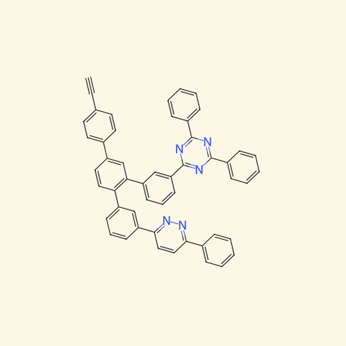 C#Cc1ccc(-c2ccc(-c3cccc(-c4ccc(-c5ccccc5)nn4)c3)c(-c3cccc(-c4nc(-c5ccccc5)nc(-c5ccccc5)n4)c3)c2)cc1